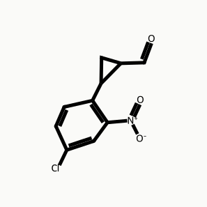 O=CC1CC1c1ccc(Cl)cc1[N+](=O)[O-]